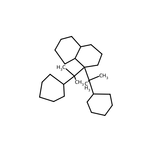 CC(C)(C1CCCCC1)C1(C(C)(C)C2CCCCC2)CCCC2CCCCC21